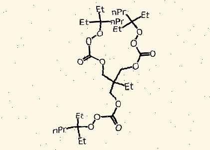 CCCC(CC)(CC)OOC(=O)OCC(CC)(COC(=O)OOC(CC)(CC)CCC)COC(=O)OOC(CC)(CC)CCC